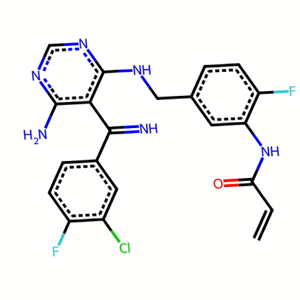 C=CC(=O)Nc1cc(CNc2ncnc(N)c2C(=N)c2ccc(F)c(Cl)c2)ccc1F